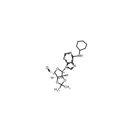 CC1(C)O[C@@H]2[C@@H](O1)[C@H](n1cnc3c(NC4CCCCC4)ncnc31)O[C@H]2C=O